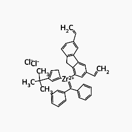 C=Cc1ccc2c(c1)-c1cc(C=C)c[c]([Zr+2]([C]3=CC(C(C)(C)C)=CC3)=[C](c3ccccc3)c3ccccc3)c1C2.[Cl-].[Cl-]